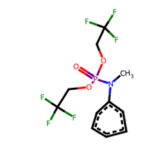 CN(c1ccccc1)P(=O)(OCC(F)(F)F)OCC(F)(F)F